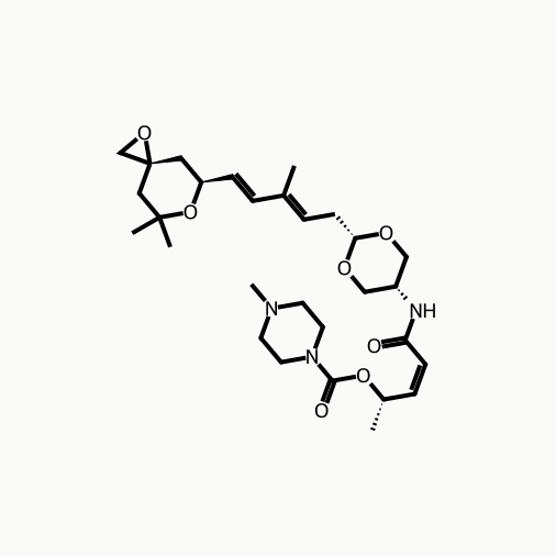 CC(/C=C/[C@@H]1C[C@]2(CO2)CC(C)(C)O1)=C\C[C@H]1OC[C@@H](NC(=O)/C=C\[C@H](C)OC(=O)N2CCN(C)CC2)CO1